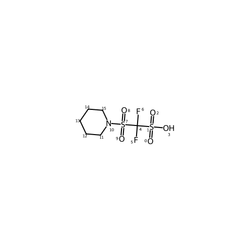 O=S(=O)(O)C(F)(F)S(=O)(=O)N1CCCCC1